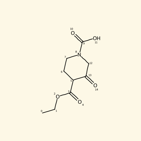 CCOC(=O)C1CCN(C(=O)O)CC1=O